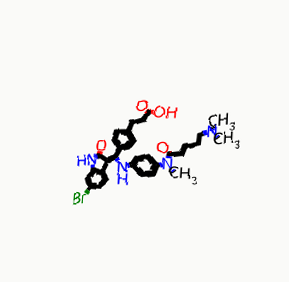 CN(C)CCCCC(=O)N(C)c1ccc(NC(=C2C(=O)Nc3cc(Br)ccc32)c2ccc(CCC(=O)O)cc2)cc1